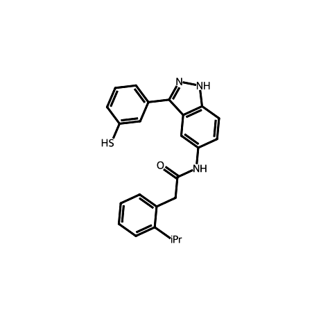 CC(C)c1ccccc1CC(=O)Nc1ccc2[nH]nc(-c3cccc(S)c3)c2c1